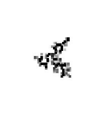 Cc1cc(F)cc(CN(c2ccc(C#N)cc2)c2nc(C(=O)NS(C)(=O)=O)c(C)s2)c1